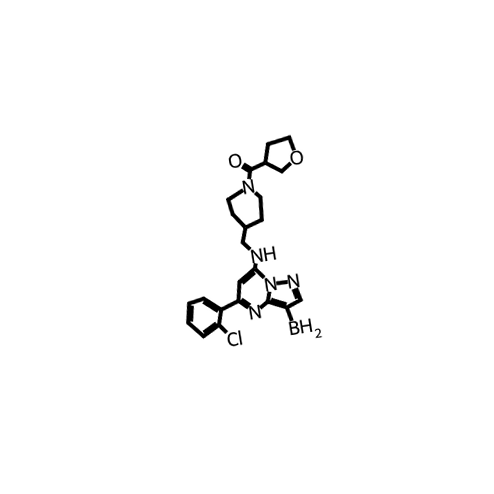 Bc1cnn2c(NCC3CCN(C(=O)C4CCOC4)CC3)cc(-c3ccccc3Cl)nc12